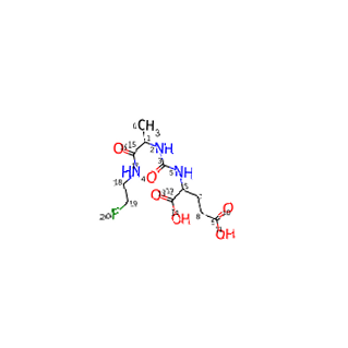 CC(NC(=O)NC(CCC(=O)O)C(=O)O)C(=O)NCCF